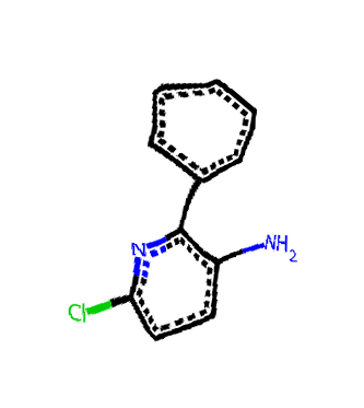 Nc1ccc(Cl)nc1-c1ccccc1